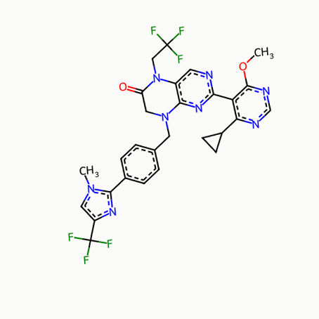 COc1ncnc(C2CC2)c1-c1ncc2c(n1)N(Cc1ccc(-c3nc(C(F)(F)F)cn3C)cc1)CC(=O)N2CC(F)(F)F